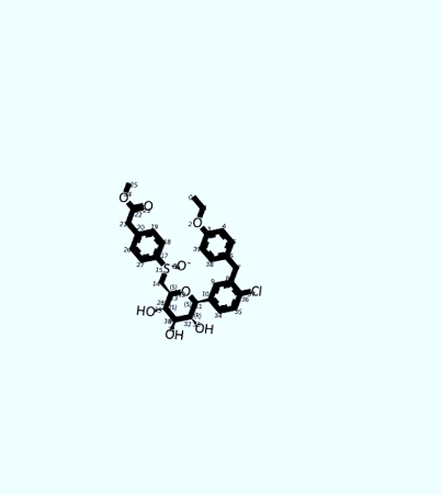 CCOc1ccc(Cc2cc([C@@H]3O[C@H](C[S+]([O-])c4ccc(CC(=O)OC)cc4)[C@@H](O)[C@H](O)[C@H]3O)ccc2Cl)cc1